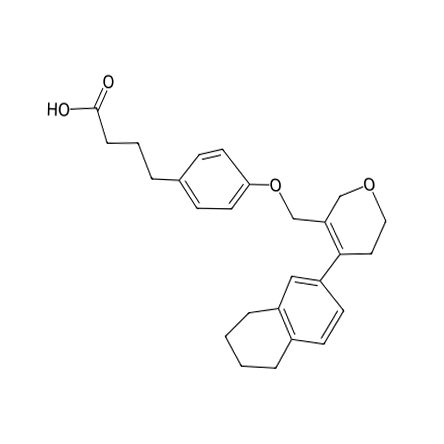 O=C(O)CCCc1ccc(OCC2=C(c3ccc4c(c3)CCCC4)CCOC2)cc1